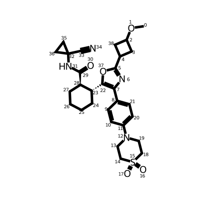 COC1CC(c2nc(-c3ccc(N4CCS(=O)(=O)CC4)cc3)c([C@@H]3CCCC[C@H]3C(=O)NC3(C#N)CC3)o2)C1